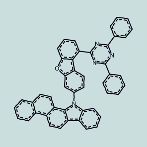 c1ccc(-c2nc(-c3ccccc3)nc(-c3cccc4oc5cc(-n6c7ccccc7c7ccc8c9ccccc9ccc8c76)ccc5c34)n2)cc1